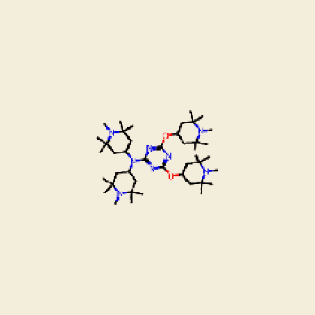 CN1C(C)(C)CC(Oc2nc(OC3CC(C)(C)N(C)C(C)(C)C3)nc(N(C3CC(C)(C)N(C)C(C)(C)C3)C3CC(C)(C)N(C)C(C)(C)C3)n2)CC1(C)C